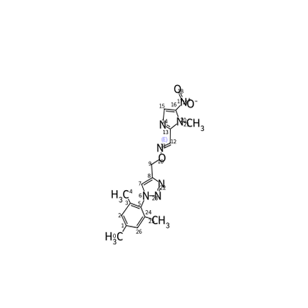 Cc1cc(C)c(-n2cc(CO/N=C/c3ncc([N+](=O)[O-])n3C)nn2)c(C)c1